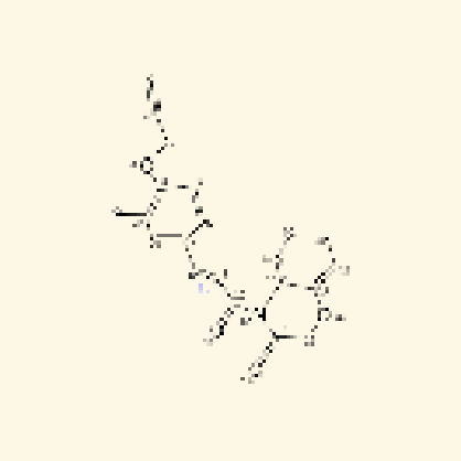 C#CCOc1ccc(/C=C/C(=O)N2C(=O)COc3ccccc32)cc1C